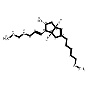 COCCCCCC1=C[C@H]2C[C@@H](O)[C@H](/C=C/COCOC)[C@H]2C1